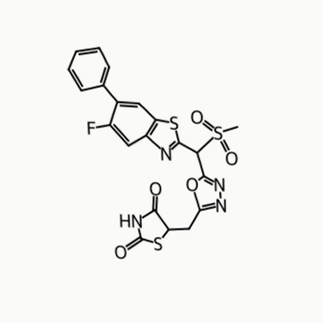 CS(=O)(=O)C(c1nnc(CC2SC(=O)NC2=O)o1)c1nc2cc(F)c(-c3ccccc3)cc2s1